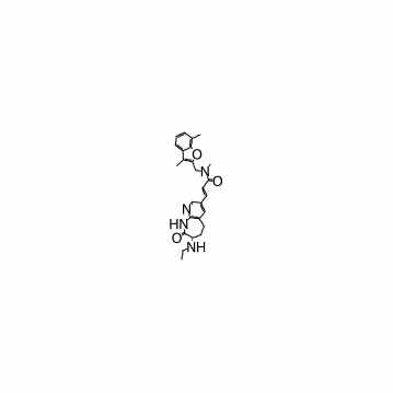 CCN[C@H]1CCc2cc(/C=C/C(=O)N(C)Cc3oc4c(C)cccc4c3C)cnc2NC1=O